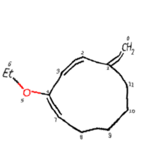 C=C1/C=C\C(OCC)=C/CCCC1